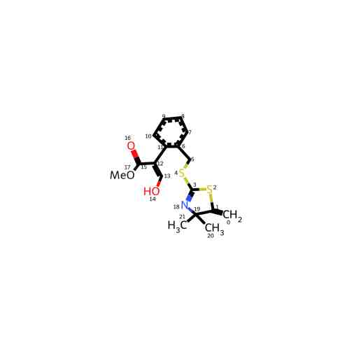 C=C1SC(SCc2ccccc2C(=CO)C(=O)OC)=NC1(C)C